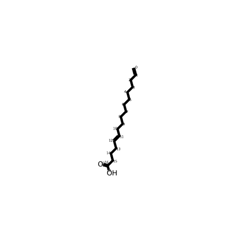 C=CCCCCCCCCCC=CCCCC(=O)O